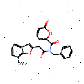 COc1cccc2cc(CC(=O)N(Cc3ccccc3)C(=O)c3cccc(=O)o3)oc12